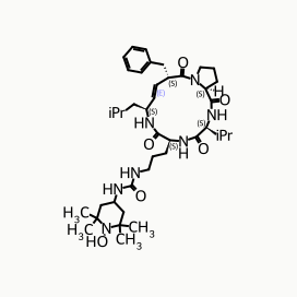 CC(C)C[C@H]1/C=C/[C@H](Cc2ccccc2)C(=O)N2CCC[C@H]2C(=O)N[C@@H](C(C)C)C(=O)N[C@@H](CCCNC(=O)NC2CC(C)(C)N(O)C(C)(C)C2)C(=O)N1